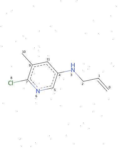 C=CCNc1cnc(Cl)c(C)c1